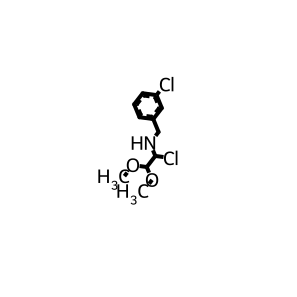 COC(OC)C(Cl)NCc1cccc(Cl)c1